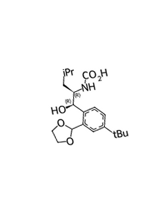 CC(C)C[C@@H](NC(=O)O)[C@H](O)c1ccc(C(C)(C)C)cc1C1OCCO1